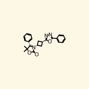 CC1(C)OC(=O)N([C@H]2C[C@H](c3nnc(-c4ccccc4)o3)C2)[C@H]1c1ccccc1